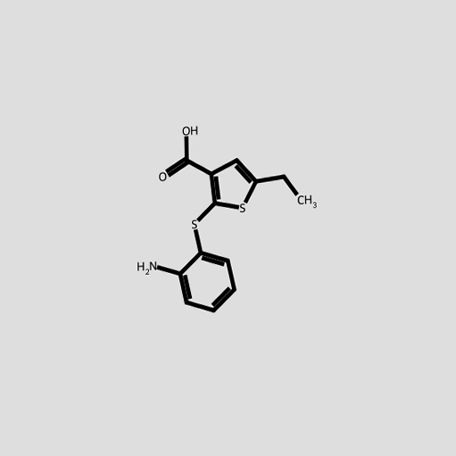 CCc1cc(C(=O)O)c(Sc2ccccc2N)s1